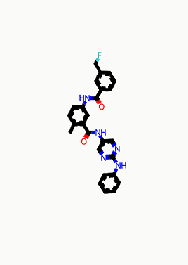 Cc1ccc(NC(=O)c2cccc(CF)c2)cc1C(=O)Nc1cnc(Nc2ccccc2)nc1